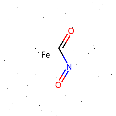 O=CN=O.[Fe]